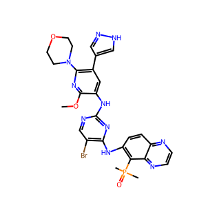 COc1nc(N2CCOCC2)c(-c2cn[nH]c2)cc1Nc1ncc(Br)c(Nc2ccc3nccnc3c2P(C)(C)=O)n1